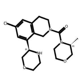 C[C@@H]1COCCN1C(=O)N1CCc2cc(Cl)cc([C@@H]3COCCN3)c2C1